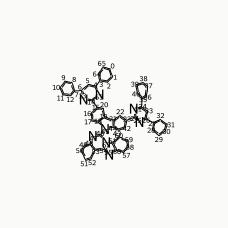 c1ccc(-c2cc(-c3ccccc3)nc(-c3ccc4c(c3)c3cc(-c5nc(-c6ccccc6)cc(-c6ccccc6)n5)ccc3n4-c3nc4ccccc4c4nc5ccccc5n34)n2)cc1